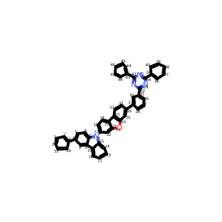 c1ccc(-c2ccc3c(c2)c2ccccc2n3-c2ccc3c(c2)oc2cc(-c4cccc(-c5nc(-c6ccccc6)nc(-c6ccccc6)n5)c4)ccc23)cc1